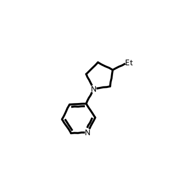 CCC1CCN(c2cccnc2)C1